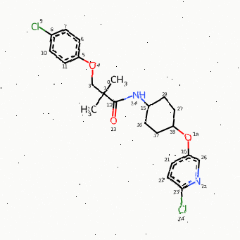 CC(C)(COc1ccc(Cl)cc1)C(=O)NC1CCC(Oc2ccc(Cl)nc2)CC1